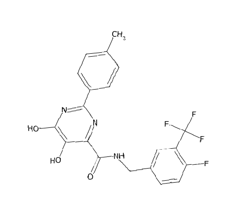 Cc1ccc(-c2nc(O)c(O)c(C(=O)NCc3ccc(F)c(C(F)(F)F)c3)n2)cc1